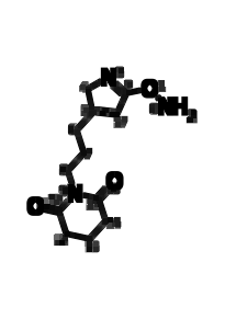 NOC1=NCC(CCCN2C(=O)CCCC2=O)=C1